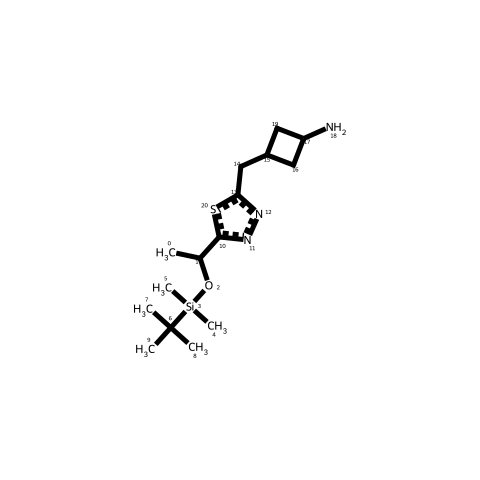 CC(O[Si](C)(C)C(C)(C)C)c1nnc(CC2CC(N)C2)s1